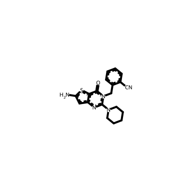 N#Cc1ccccc1Cn1c(N2CCCCC2)nc2cc(N)sc2c1=O